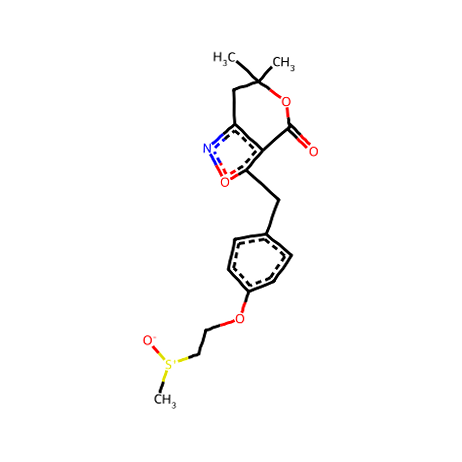 C[S+]([O-])CCOc1ccc(Cc2onc3c2C(=O)OC(C)(C)C3)cc1